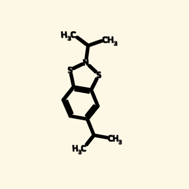 CC(C)c1ccc2c(c1)SN(C(C)C)S2